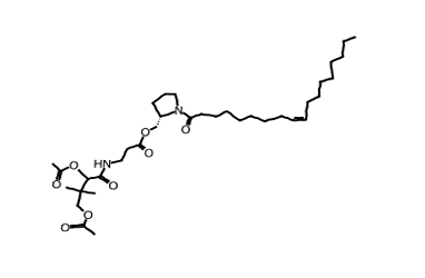 CCCCCCCC/C=C\CCCCCCCC(=O)N1CCC[C@H]1COC(=O)CCNC(=O)C(OC(C)=O)C(C)(C)COC(C)=O